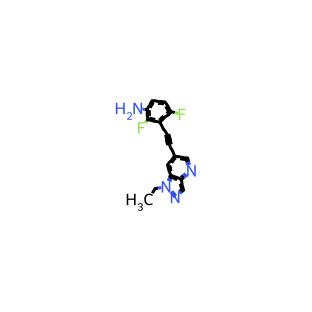 CCn1ncc2ncc(C#Cc3c(F)ccc(N)c3F)cc21